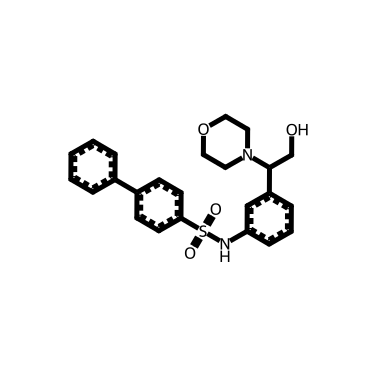 O=S(=O)(Nc1cccc(C(CO)N2CCOCC2)c1)c1ccc(-c2ccccc2)cc1